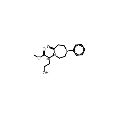 COC(=O)[C@H](CCO)N1CCN(c2ccccc2)CCC1=O